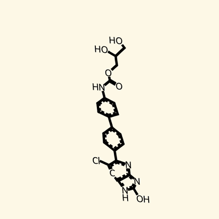 O=C(Nc1ccc(-c2ccc(-c3nc4nc(O)[nH]c4cc3Cl)cc2)cc1)OCC(O)CO